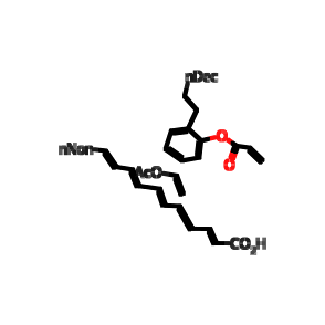 C=CC(=O)Oc1ccccc1CCCCCCCCCCCC.C=COC(C)=O.CCCCCCCCCC=CC=CC=CC=CC=CC(=O)O